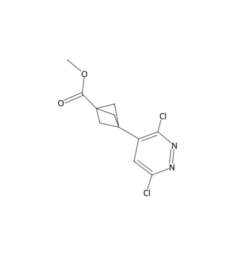 COC(=O)C12CC(c3cc(Cl)nnc3Cl)(C1)C2